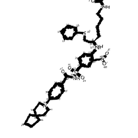 CC(=O)NCCCC[C@H](CSc1ccccc1)Nc1ccc(S(=O)(=O)NC(=O)c2ccc(N3CCC4(CCCC4)CC3)cc2)cc1[N+](=O)[O-]